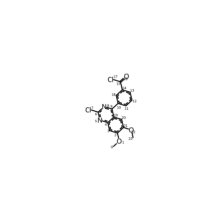 COc1cc2nc(Cl)nc(-c3cccc(C(=O)Cl)c3)c2cc1OC